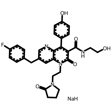 O=C(NCCO)c1c(-c2ccc(O)cc2)c2ncc(Cc3ccc(F)cc3)cc2n(CCN2CCCC2=O)c1=O.[NaH]